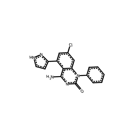 Nc1nc(=O)n(-c2ccccc2)c2cc(Cl)cc(-c3cc[nH]n3)c12